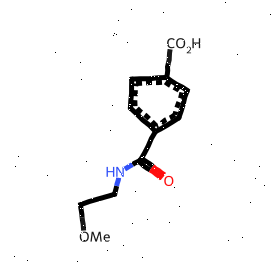 COCCNC(=O)c1ccc(C(=O)O)cc1